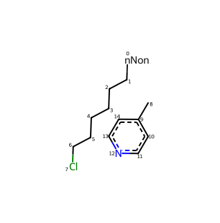 CCCCCCCCCCCCCCCCl.Cc1ccncc1